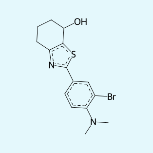 CN(C)c1ccc(-c2nc3c(s2)C(O)CCC3)cc1Br